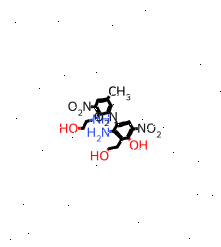 Cc1ccc(NCCO)c([N+](=O)[O-])c1.Nc1c([N+](=O)[O-])cc([N+](=O)[O-])c(O)c1CCO